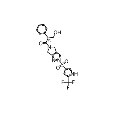 O=C([C@H](CO)c1ccccc1)N1Cc2cn(S(=O)(=O)c3c[nH]c(C(F)(F)F)c3)nc2C1